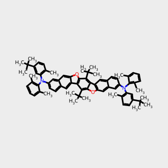 Cc1ccc(C(C)(C)C)cc1N(c1ccc2cc3c(cc2c1)oc1c(C(C)(C)C)c2c(oc4cc5cc(N(c6cc(C(C)(C)C)ccc6C)c6c(C)cccc6C)ccc5cc42)c(C(C)(C)C)c13)c1c(C)cccc1C